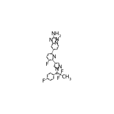 CC(F)(F)[C@@H](c1ccc(F)cc1)n1cc(-c2nc(-c3ccn4nc(N)nc4c3)ccc2F)cn1